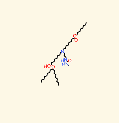 CCCCCCCCOC(=O)CCCCCCCN(CCCCCCCC(O)OC(CCCCCCCC)CCCCCCCC)CCCNC(=O)NC